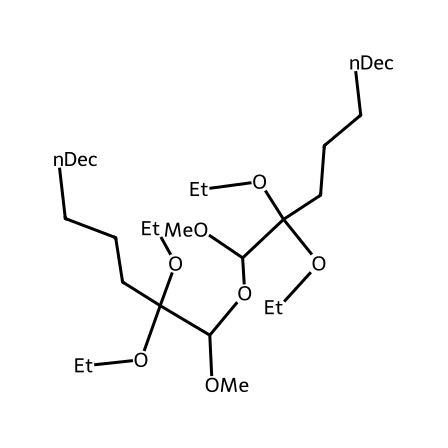 CCCCCCCCCCCCCC(OCC)(OCC)C(OC)OC(OC)C(CCCCCCCCCCCCC)(OCC)OCC